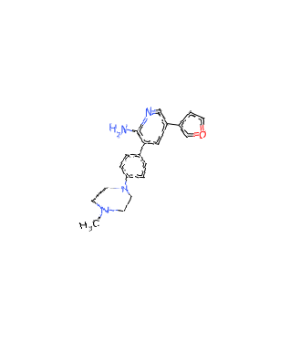 CN1CCN(c2ccc(-c3cc(-c4ccoc4)cnc3N)cc2)CC1